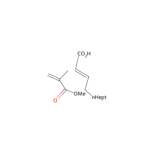 C=C(C)C(=O)OC.CCCCCCCCC=CC(=O)O